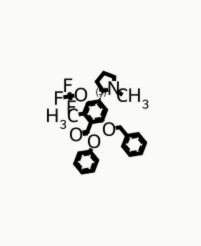 Cc1c(OC(F)(F)F)c([C@@H]2CCCN2C)cc(OCc2ccccc2)c1C(=O)Oc1ccccc1